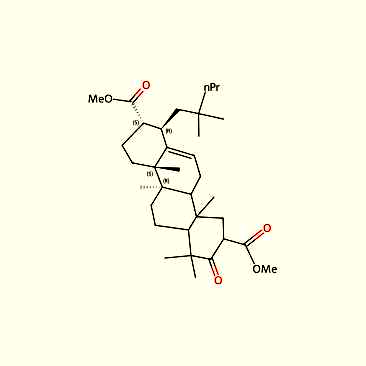 CCCC(C)(C)C[C@H]1C2=CCC3C4(C)CC(C(=O)OC)C(=O)C(C)(C)C4CC[C@@]3(C)[C@]2(C)CC[C@@H]1C(=O)OC